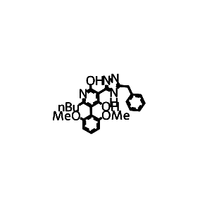 CCCCc1nc(O)c(-c2nnc(Cc3ccccc3)[nH]2)c(O)c1-c1c(OC)cccc1OC